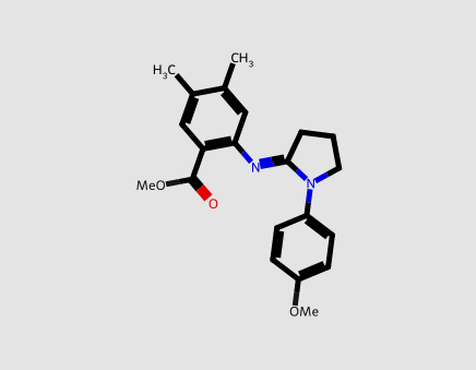 COC(=O)c1cc(C)c(C)cc1/N=C1\CCCN1c1ccc(OC)cc1